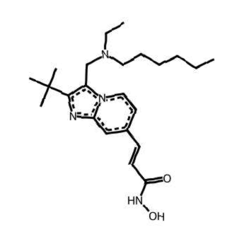 CCCCCCN(CC)Cc1c(C(C)(C)C)nc2cc(C=CC(=O)NO)ccn12